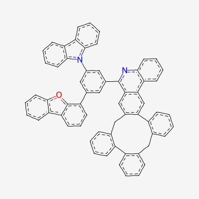 c1ccc2c(c1)Cc1ccccc1-c1cc3c(cc1Cc1ccccc1-2)c(-c1cc(-c2cccc4c2oc2ccccc24)cc(-n2c4ccccc4c4ccccc42)c1)nc1ccccc13